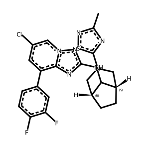 Cc1nsc(N2C[C@H]3CC[C@@H](C2)C3Nc2nc3c(-c4ccc(F)c(F)c4)cc(Cl)cn3n2)n1